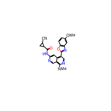 CNc1ncc(-c2nc3cc(OC)ccc3o2)c2cc(NC(=O)C3CC3C#N)ncc12